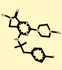 CCN1Cc2c(NC(C)(C)Cc3ccc(F)cc3)nc(N3CCN(C(C)=O)CC3)nc2C1=O